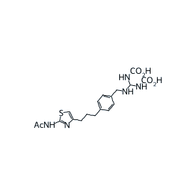 CC(=O)Nc1nc(CCCc2ccc(CNC(NC(=O)O)NC(=O)O)cc2)cs1